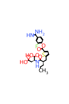 CCC[C@H](Cc1ccc(C(=O)Oc2ccc(C(=N)N)cc2F)s1)C(=O)N[C@@H](CC(=O)O)C(=O)O